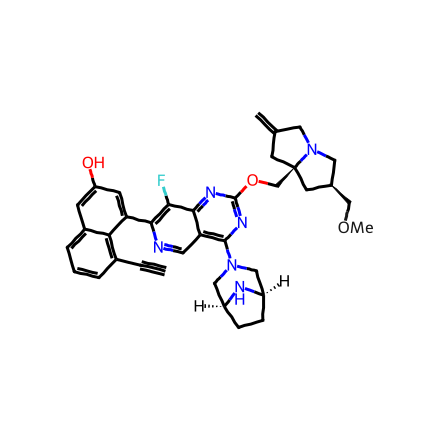 C#Cc1cccc2cc(O)cc(-c3ncc4c(N5C[C@H]6CC[C@@H](C5)N6)nc(OC[C@@]56CC(=C)CN5C[C@@H](COC)C6)nc4c3F)c12